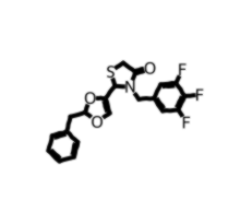 O=C1CSC(C2=COC(Cc3ccccc3)O2)N1Cc1cc(F)c(F)c(F)c1